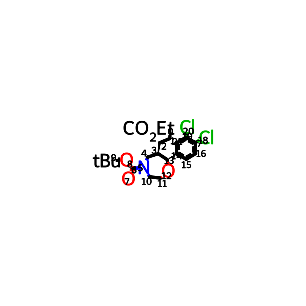 CCOC(=O)CC[C@@H]1CN(C(=O)OC(C)(C)C)CCO[C@H]1c1ccc(Cl)c(Cl)c1